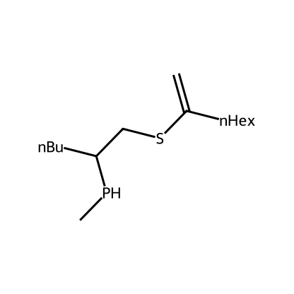 C=C(CCCCCC)SCC(CCCC)PC